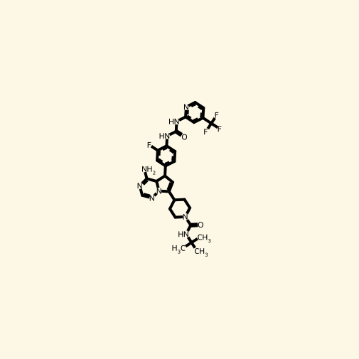 CC(C)(C)NC(=O)N1CCC(C2=CC(c3ccc(NC(=O)Nc4cc(C(F)(F)F)ccn4)c(F)c3)C3C(N)=NC=NN23)CC1